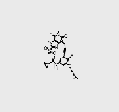 COCCOc1cc(NC(=O)C2CC2)cc(C#CCn2c(=O)n(C)c(=O)c3c2nc(S(C)(=O)=O)n3C)c1F